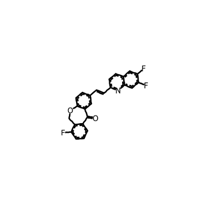 O=C1c2cc(C=Cc3ccc4cc(F)c(F)cc4n3)ccc2OCc2c(F)cccc21